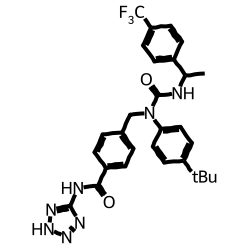 CC(NC(=O)N(Cc1ccc(C(=O)Nc2nn[nH]n2)cc1)c1ccc(C(C)(C)C)cc1)c1ccc(C(F)(F)F)cc1